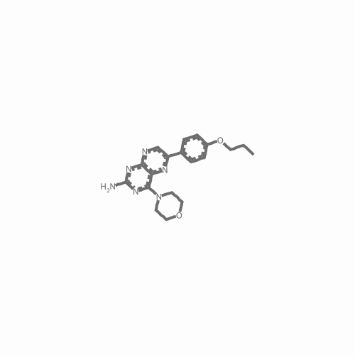 CCCOc1ccc(-c2cnc3nc(N)nc(N4CCOCC4)c3n2)cc1